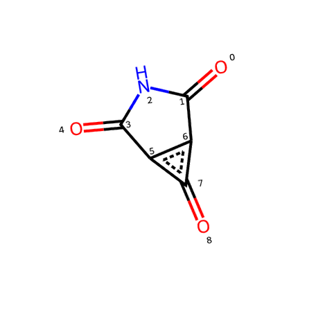 O=C1NC(=O)c2c1c2=O